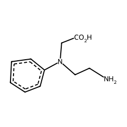 NCCN(CC(=O)O)c1ccccc1